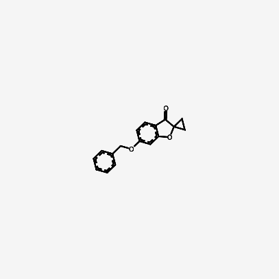 O=C1c2ccc(OCc3ccccc3)cc2OC12CC2